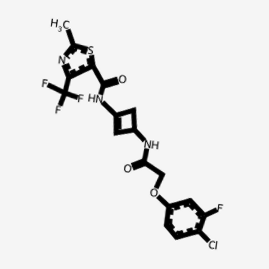 Cc1nc(C(F)(F)F)c(C(=O)NC2=CC(NC(=O)COc3ccc(Cl)c(F)c3)C2)s1